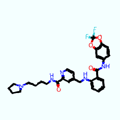 O=C(NCCCCN1CCCC1)c1cc(CNc2ccccc2C(=O)Nc2ccc3c(c2)OC(F)(F)O3)ccn1